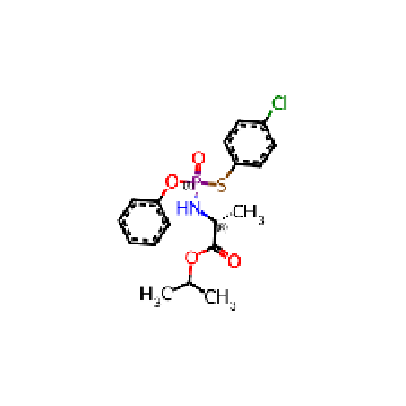 CC(C)OC(=O)[C@@H](C)N[P@@](=O)(Oc1ccccc1)Sc1ccc(Cl)cc1